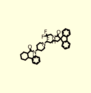 O=C(NC1CCN(CCCCC2(C(=O)NCC(F)(F)F)c3ccccc3-c3ccccc32)CC1)C1CCCCC1c1ccccc1